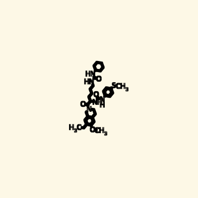 CCc1cc2c(cc1OC)CCN(C(=O)C(CCCCNC(=O)NC1CCCCC1)NC(=O)Nc1ccc(SC)cc1)C2